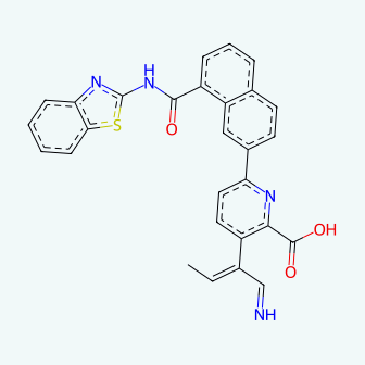 C/C=C(/C=N)c1ccc(-c2ccc3cccc(C(=O)Nc4nc5ccccc5s4)c3c2)nc1C(=O)O